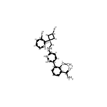 COc1c(C(N)=O)cccc1-c1ccc(NC[C@]2(c3ncccc3F)C[C@H](F)C2)nn1